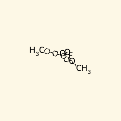 CCCCOc1ccc2cc(-c3ccc(C4CCC(C)CC4)cc3)oc(=O)c2c1F